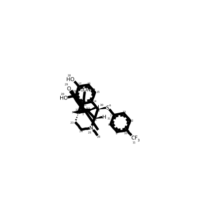 COC1=C[C@@H]2[C@@H]3[C@H](Sc4ccc(C(F)(F)F)cc4)c4ccc(O)c(O)c4[C@]2(CCN3C)CC1=O